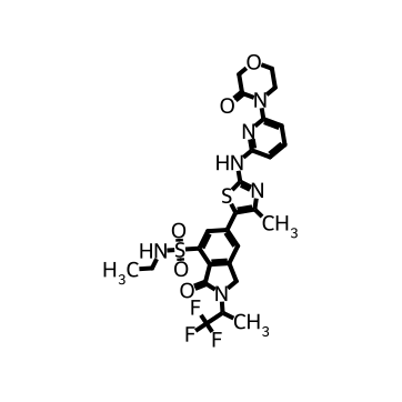 CCNS(=O)(=O)c1cc(-c2sc(Nc3cccc(N4CCOCC4=O)n3)nc2C)cc2c1C(=O)N(C(C)C(F)(F)F)C2